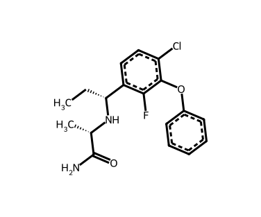 CC[C@@H](N[C@@H](C)C(N)=O)c1ccc(Cl)c(Oc2ccccc2)c1F